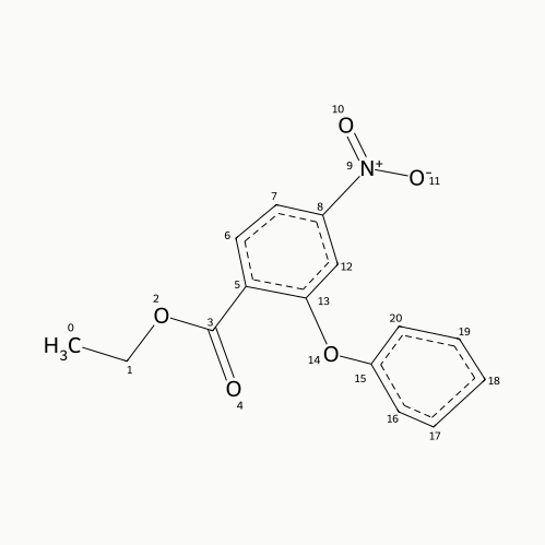 CCOC(=O)c1ccc([N+](=O)[O-])cc1Oc1ccccc1